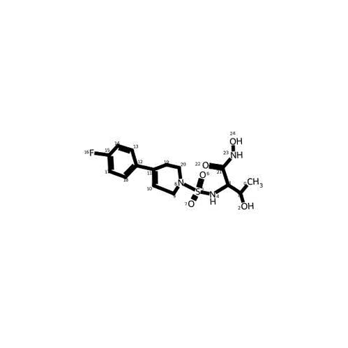 CC(O)C(NS(=O)(=O)N1CC=C(c2ccc(F)cc2)CC1)C(=O)NO